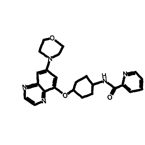 O=C(NC1CCC(Oc2cc(N3CCOCC3)cc3nccnc23)CC1)c1ccccn1